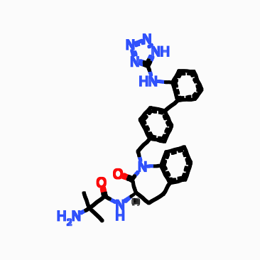 CC(C)(N)C(=O)N[C@@H]1CCc2ccccc2N(Cc2ccc(-c3ccccc3Nc3nnn[nH]3)cc2)C1=O